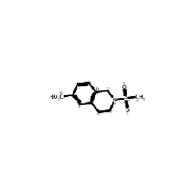 CS(=O)(=O)N1CCc2cc(C(=O)O)ccc2C1